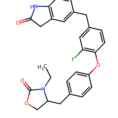 CCN1C(=O)OCC1Cc1ccc(Oc2ccc(Cc3ccc4c(c3)CC(=O)N4)cc2F)cc1